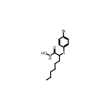 CCCCCCC(Sc1ccc(Br)cc1)C(=O)NO